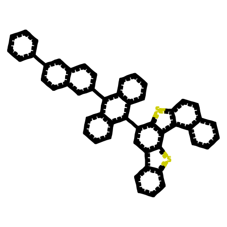 c1ccc(-c2ccc3cc(-c4c5ccccc5c(-c5cc6c7ccccc7sc6c6c5sc5ccc7ccccc7c56)c5ccccc45)ccc3c2)cc1